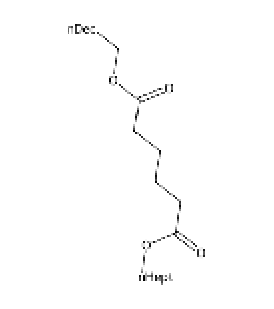 CCCCCCCCCCCOC(=O)CCCCC(=O)OCCCCCCC